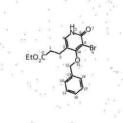 CCOC(=O)CCc1c[nH]c(=O)c(Br)c1OCc1ccccc1